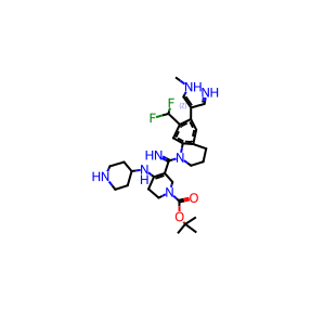 CN/C=C(\C=N)c1cc2c(cc1C(F)F)N(C(=N)C1=C(NC3CCNCC3)CCN(C(=O)OC(C)(C)C)C1)CCC2